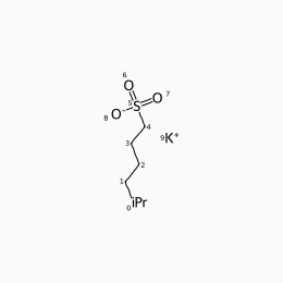 CC(C)CCCCS(=O)(=O)[O-].[K+]